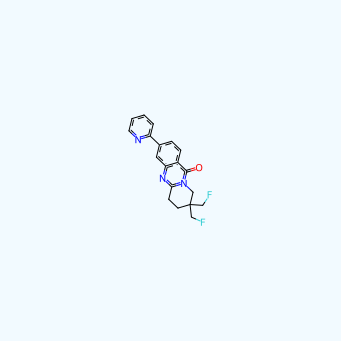 O=c1c2ccc(-c3ccccn3)cc2nc2n1CC(CF)(CF)CC2